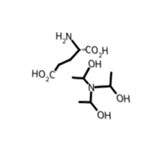 CC(O)N(C(C)O)C(C)O.N[C@@H](CCC(=O)O)C(=O)O